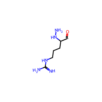 N=C(N)NCCCC([C]=O)NN